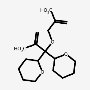 C=C(COC(C(=C)C(=O)O)(C1CCCCO1)C1CCCCO1)C(=O)O